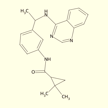 CC(Nc1ncnc2ccccc12)c1cccc(NC(=O)C2CC2(C)C)c1